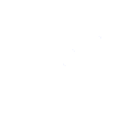 C1=CN(c2ccc(-c3ccccn3)cn2)c2cccc3cc4sc5ccccc5c4c1c23